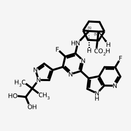 CC(C)(C(O)O)n1cc(-c2nc(-c3c[nH]c4ncc(F)cc34)nc(N[C@H]3C4CCC(CC4)[C@@H]3C(=O)O)c2F)cn1